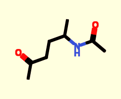 CC(=O)CCC(C)NC(C)=O